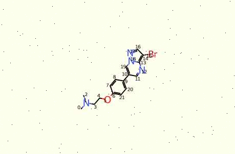 CN(C)CCOc1ccc(-c2cnc3c(Br)cnn3c2)cc1